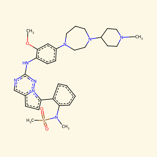 COc1cc(N2CCCN(C3CCN(C)CC3)CC2)ccc1Nc1ncc2ccc(-c3ccccc3N(C)S(C)(=O)=O)n2n1